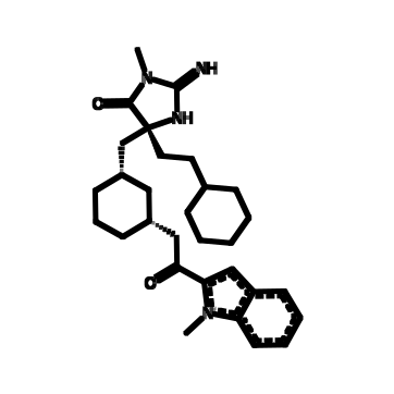 CN1C(=N)N[C@](CCC2CCCCC2)(C[C@H]2CCC[C@@H](CC(=O)c3cc4ccccc4n3C)C2)C1=O